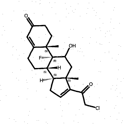 C[C@]12CCC(=O)C=C1CC[C@H]1[C@@H]3CC=C(C(=O)CCl)[C@@]3(C)CC(O)[C@@]12F